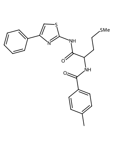 CSCCC(NC(=O)c1ccc(C)cc1)C(=O)Nc1nc(-c2ccccc2)cs1